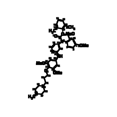 COc1ccc(N(C(=O)Oc2c(C)cccc2C)c2ccnc(Nc3cc(OC)c(OCCCN4CCN(C)CC4)c(OC)c3)c2)c(OC)c1